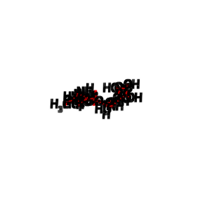 CCC(=O)NCCNC(=O)/N=C(/N)NCCC[C@@H](NC(=O)C(c1ccccc1)c1cccc(OCCCCNC(=O)[C@@H](CO)NC(=O)CCNC(=O)CN2CCN(CC(=O)O)CCN(CC(=O)O)CCN(CC(=O)O)CC2)c1)C(=O)NCc1c(F)cc(O)cc1F